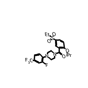 CCS(=O)(=O)c1ccc(OC(C)C)c(C(=O)N2CCN(c3ccc(C(F)(F)F)cc3F)CC2)c1